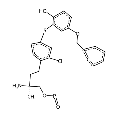 C[C@](N)(CCc1ccc(Sc2cc(OCc3ccccc3)ccc2O)cc1Cl)COP=O